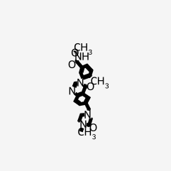 CONC(=O)c1ccc(C)c(-n2cnc3ccc(CN4CCN(C)C(=O)C4)cc3c2=O)c1